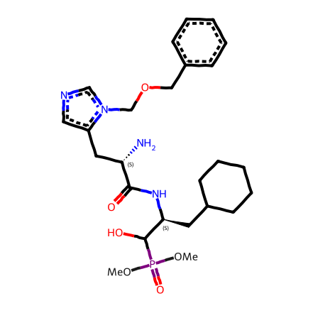 COP(=O)(OC)C(O)[C@H](CC1CCCCC1)NC(=O)[C@@H](N)Cc1cncn1COCc1ccccc1